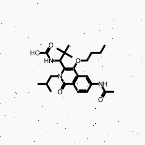 CCCCOc1c(C(NC(=O)O)C(C)(C)C)n(CC(C)C)c(=O)c2ccc(NC(C)=O)cc12